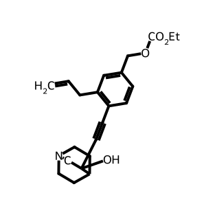 C=CCc1cc(COC(=O)OCC)ccc1C#CC1(O)CN2CCC1CC2